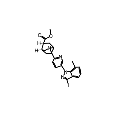 COC(=O)[C@H]1CC2CC[C@@H]1CN2c1ccc(-n2nc(I)c3cccc(C)c32)cn1